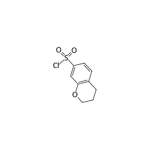 O=S(=O)(Cl)c1ccc2c(c1)OCCC2